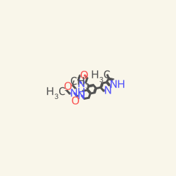 Cc1c[nH]c2ncc(-c3cc4c(c([C@@H]5COCCN5)c3)CN(C(=O)N3C[C@H](C)O[C@@H](C)C3)CC4)cc12